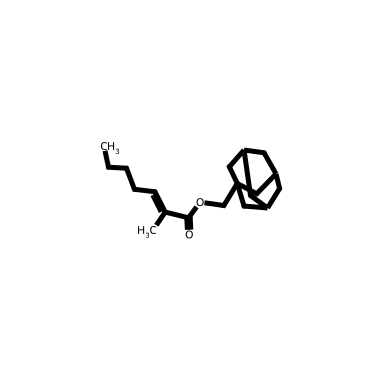 CCCCC=C(C)C(=O)OCC12CC3CC(CC(C3)C1)C2